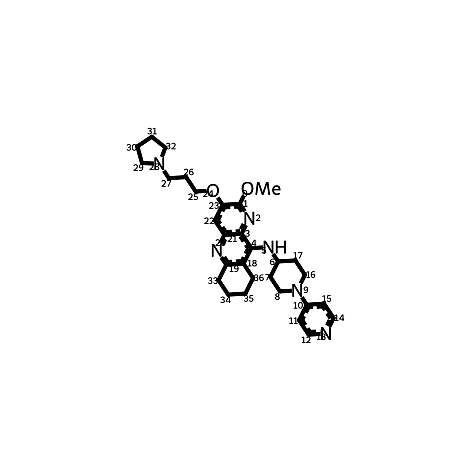 COc1nc2c(NC3CCN(c4ccncc4)CC3)c3c(nc2cc1OCCCN1CCCC1)CCCC3